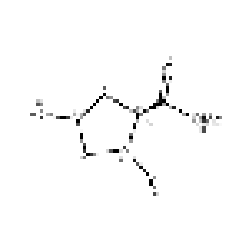 COC(=O)[C@@H]1CC(O)CN1Cl